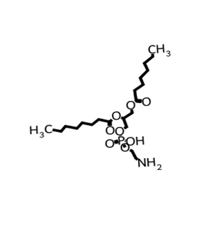 CCCCCCCC(=O)OCC(COP(=O)(O)OCCN)OC(=O)CCCCCCC